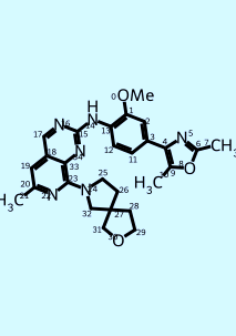 COc1cc(-c2nc(C)oc2C)ccc1Nc1ncc2cc(C)nc(N3CCC4(CCOC4)C3)c2n1